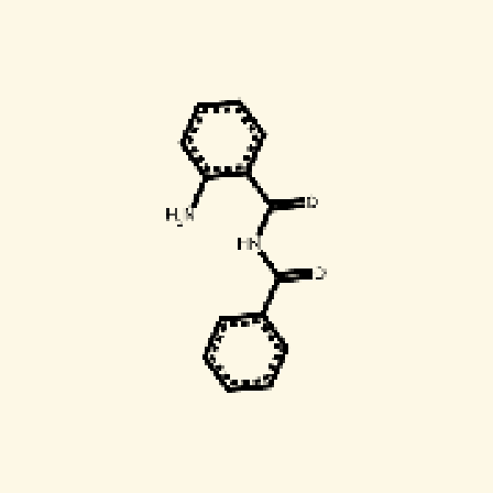 Nc1ccccc1C(=O)NC(=O)c1ccccc1